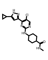 CNC(=O)C1CCC(Nc2ncc(Cl)c(-c3cc(C4CC4)[nH]n3)n2)CC1